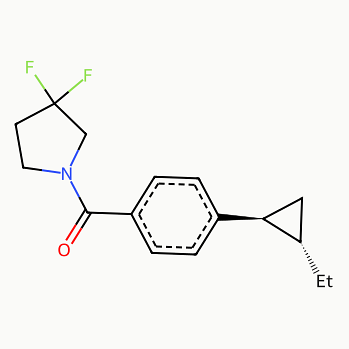 CC[C@H]1C[C@@H]1c1ccc(C(=O)N2CCC(F)(F)C2)cc1